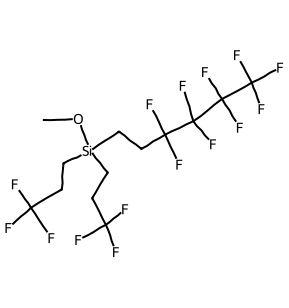 CO[Si](CCC(F)(F)F)(CCC(F)(F)F)CCC(F)(F)C(F)(F)C(F)(F)C(F)(F)F